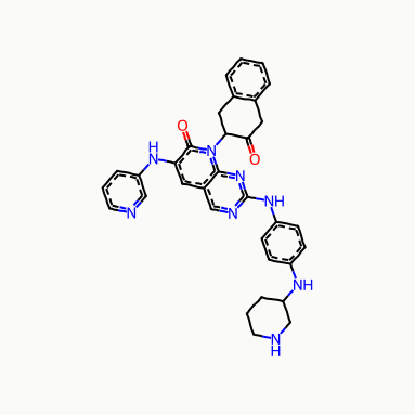 O=C1Cc2ccccc2CC1n1c(=O)c(Nc2cccnc2)cc2cnc(Nc3ccc(NC4CCCNC4)cc3)nc21